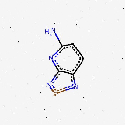 Nc1ccc2nsnc2n1